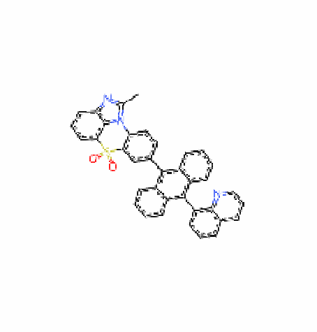 Cc1nc2cccc3c2n1-c1ccc(-c2c4ccccc4c(-c4cccc5cccnc45)c4ccccc24)cc1S3(=O)=O